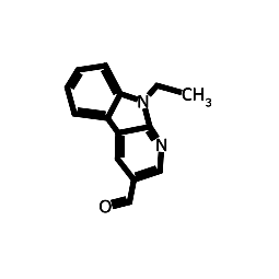 CCn1c2ccccc2c2cc(C=O)cnc21